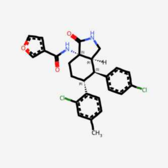 Cc1ccc([C@@H]2CC[C@@]3(NC(=O)c4ccoc4)C(=O)NC[C@H]3[C@H]2c2ccc(Cl)cc2)c(Cl)c1